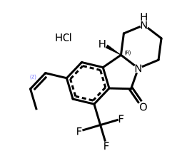 C/C=C\c1cc2c(c(C(F)(F)F)c1)C(=O)N1CCNC[C@@H]21.Cl